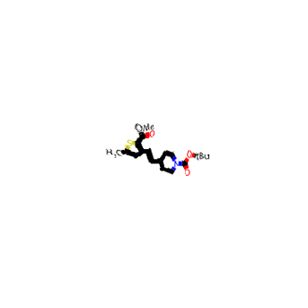 COC(=O)c1sc(C)cc1C=CC1CCN(C(=O)OC(C)(C)C)CC1